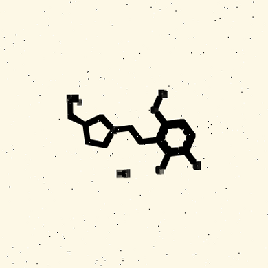 CCOc1ccc(Cl)c(Cl)c1CCN1CC[C@@H](CN)C1.Cl